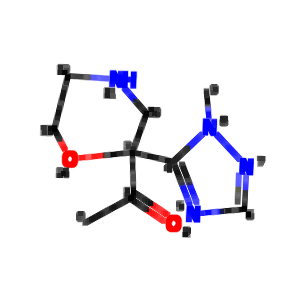 CC(=O)C1(c2ncnn2C)CNCCO1